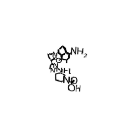 Cc1cc(N)c2ccccc2c1Oc1ncccc1-c1ccnc(NC2CCCN(C(=O)O)C2)n1